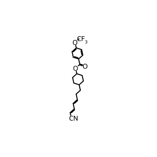 N#CC=CC=CCCC1CCC(OC(=O)c2ccc(OC(F)(F)F)cc2)CC1